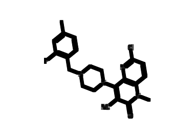 Cc1ccc(CN2CCN(c3c(C#N)c(=O)n(C)c4ccc(Cl)nc34)CC2)c(F)c1